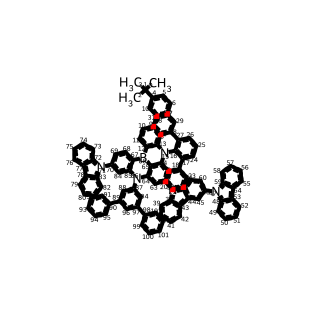 CC(C)(C)c1cccc(-c2ccc3c(c2)N(c2c(-c4ccccc4)cccc2-c2ccccc2)c2cc(-n4c5ccccc5c5cc(-n6c7ccccc7c7ccccc76)ccc54)cc4c2B3c2ccc(-n3c5ccccc5c5ccccc53)cc2N4c2cc(-c3ccccc3)cc(-c3ccccc3)c2)c1